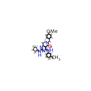 COc1ccc(CN2CCc3nc(NC4CCCC4)nc(Nc4cccc(C)c4)c3C2=O)cc1